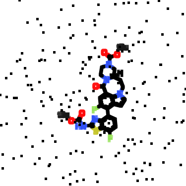 CC(C)(C)OC(=O)Nc1nc2c(-c3c(F)cc4c5c3ccn5CC[C@H]3CN(C(=O)OC(C)(C)C)CCN3C4=O)ccc(F)c2s1